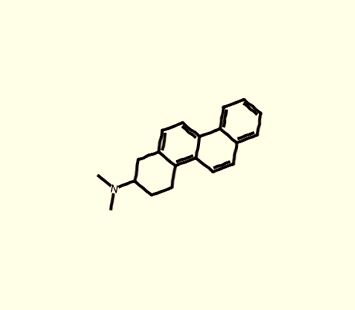 CN(C)C1CCc2c(ccc3c2ccc2ccccc23)C1